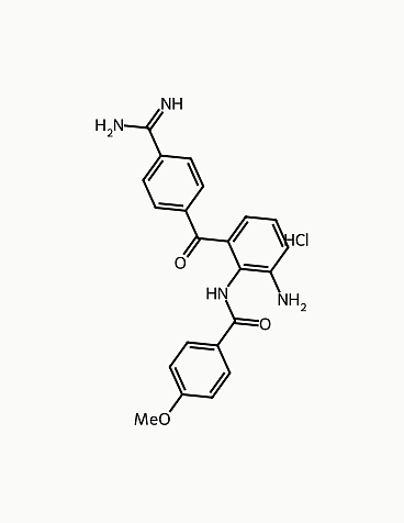 COc1ccc(C(=O)Nc2c(N)cccc2C(=O)c2ccc(C(=N)N)cc2)cc1.Cl